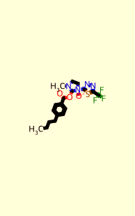 CCCCc1ccc(C(=O)OC2N(C)CC[N+]2([O-])c2nnc(C(F)(F)F)s2)cc1